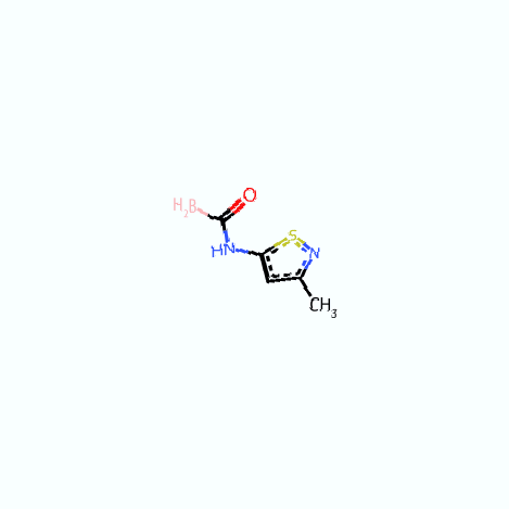 BC(=O)Nc1cc(C)ns1